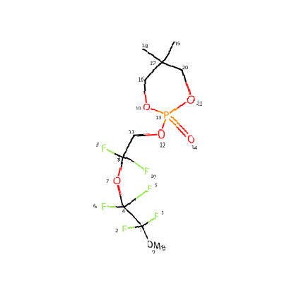 COC(F)(F)C(F)(F)OC(F)(F)COP1(=O)OCC(C)(C)CO1